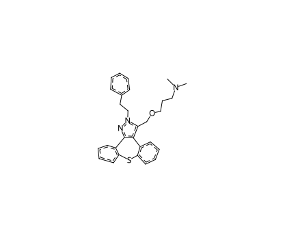 CN(C)CCCOCc1c2c(nn1CCc1ccccc1)-c1ccccc1Sc1ccccc1-2